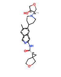 Cc1cc2cnc(NC(=O)[C@@H]3CC34CCOCC4)cc2cc1C1CCN([C@]2(C)COC[C@@H]2O)CC1